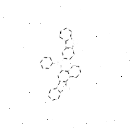 c1ccc(N(c2ccc3oc4ccccc4c3c2)c2cc3c4ccccc4oc3c3ccccc23)cc1